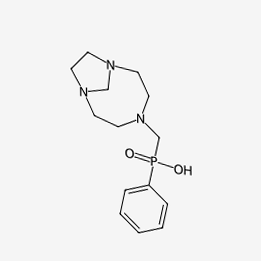 O=P(O)(CN1CCN2CCN(CC1)C2)c1ccccc1